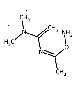 C=C(/N=C(/C)ON)N(C)C